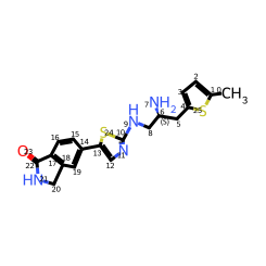 Cc1ccc(C[C@H](N)CNc2ncc(-c3ccc4c(c3)CNC4=O)s2)s1